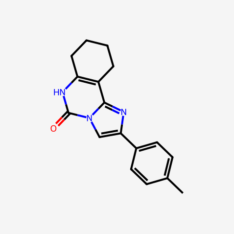 Cc1ccc(-c2cn3c(=O)[nH]c4c(c3n2)CCCC4)cc1